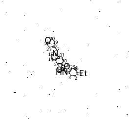 CCc1ccc(NS(=O)(=O)c2ccc3c(ccn3CC3CCOCC3)c2)cc1